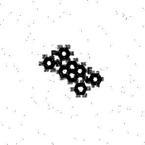 Fc1ccccc1N(C1=CC=CCC1)c1ccc2ccc3c(N(c4ccccc4)c4ccccc4F)ccc4ccc1c2c43